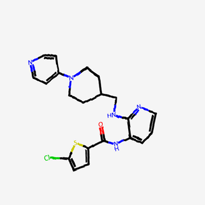 O=C(Nc1cccnc1NCC1CCN(c2ccncc2)CC1)c1ccc(Cl)s1